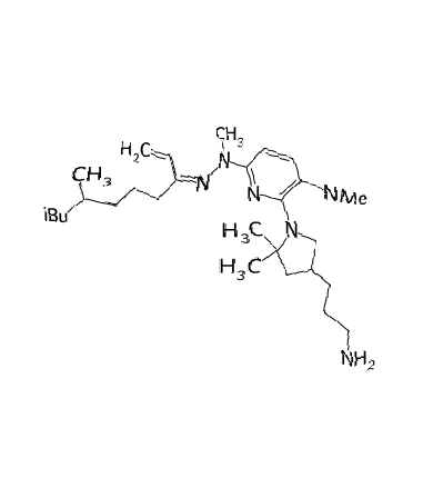 C=C/C(CCCC(C)C(C)CC)=N\N(C)c1ccc(NC)c(N2CC(CCCN)CC2(C)C)n1